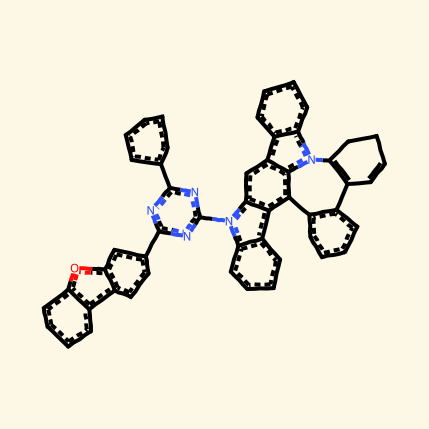 C1=CC2=C(CC1)n1c3ccccc3c3cc4c(c(c31)-c1ccccc12)c1ccccc1n4-c1nc(-c2ccccc2)nc(-c2ccc3c(c2)oc2ccccc23)n1